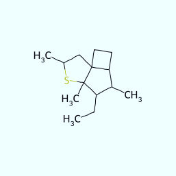 CCC1C(C)C2CCC23CC(C)SC13C